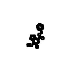 CC(C)(C)OC(=O)CC(C(=O)OCc1ccccc1)C1CCCC1